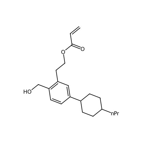 C=CC(=O)OCCc1cc(C2CCC(CCC)CC2)ccc1CO